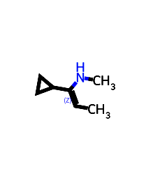 C/C=C(\NC)C1CC1